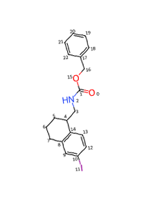 O=C(NCC1CCCc2cc(I)ccc21)OCc1ccccc1